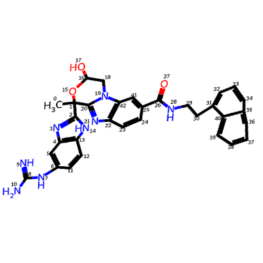 CC1(c2nc3cc(NC(=N)N)ccc3[nH]2)OC(O)Cn2c1nc1ccc(C(=O)NCCc3cccc4ccccc34)cc12